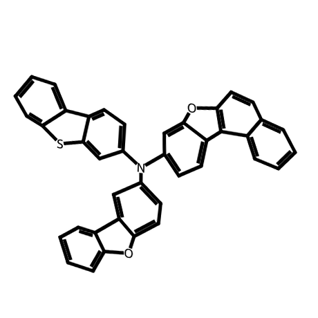 c1ccc2c(c1)ccc1oc3cc(N(c4ccc5c(c4)sc4ccccc45)c4ccc5oc6ccccc6c5c4)ccc3c12